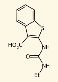 CCNC(=O)Nc1sc2ccccc2c1C(=O)O